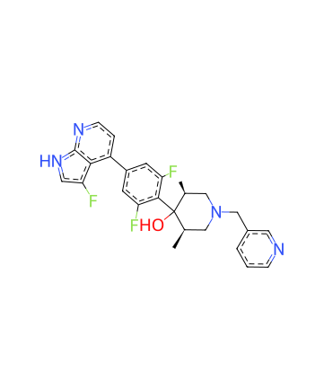 C[C@@H]1CN(Cc2cccnc2)C[C@H](C)C1(O)c1c(F)cc(-c2ccnc3[nH]cc(F)c23)cc1F